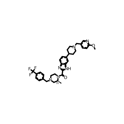 COc1ccc(CN2CCC(c3ccc4nc(C(=O)N5CCN(Cc6ccc(C(F)(F)F)cc6)C[C@@H]5C)[nH]c4c3)CC2)cn1